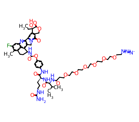 CC[C@@]1(O)C(=O)OCc2c1cc1n(c2=O)Cc2c-1nc1cc(F)c(C)c3c1c2[C@@H](NC(=O)Oc1ccc(NC(=O)[C@H](CCCNC(N)=O)NC(=O)[C@@H](NC(=O)CCOCCOCCOCCOCCOCCOCCN=[N+]=[N-])C(C)C)cc1)CC3